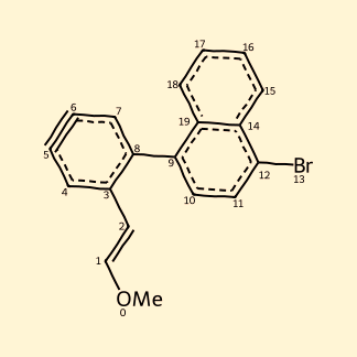 CO/C=C/c1cc#ccc1-c1ccc(Br)c2ccccc12